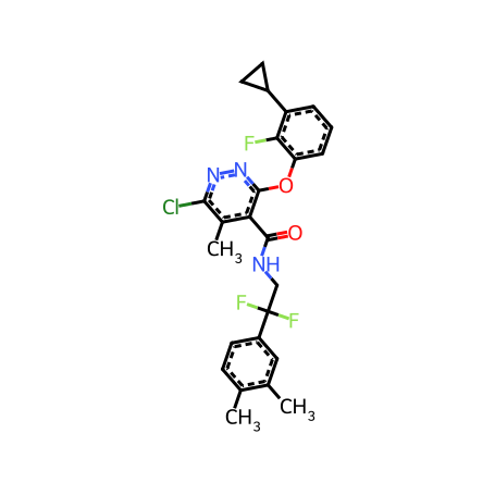 Cc1ccc(C(F)(F)CNC(=O)c2c(Oc3cccc(C4CC4)c3F)nnc(Cl)c2C)cc1C